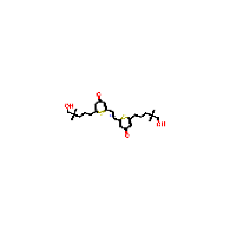 CC(C)(CO)CCCc1cc(=O)cc(/C=C/c2cc(=O)cc(CCCC(C)(C)CO)s2)s1